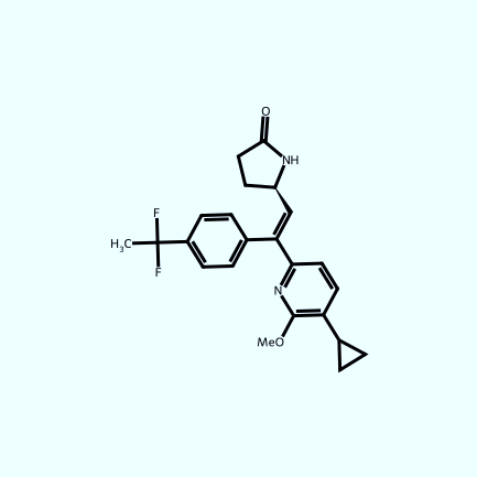 COc1nc(/C(=C/[C@H]2CCC(=O)N2)c2ccc(C(C)(F)F)cc2)ccc1C1CC1